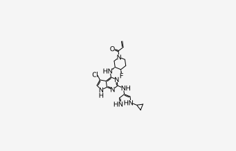 C=CC(=O)N1CC[C@@H](F)[C@@H](Nc2nc(N/C(C=N)=C/NC3CC3)nc3[nH]cc(Cl)c23)C1